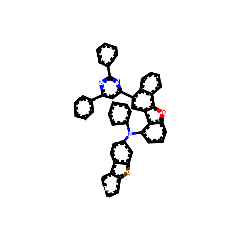 c1ccc(-c2cc(-c3cc4c(oc5cccc(N(c6ccccc6)c6ccc7c(c6)sc6ccccc67)c54)c4ccccc34)nc(-c3ccccc3)n2)cc1